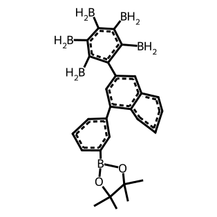 Bc1c(B)c(B)c(-c2cc(-c3cccc(B4OC(C)(C)C(C)(C)O4)c3)c3ccccc3c2)c(B)c1B